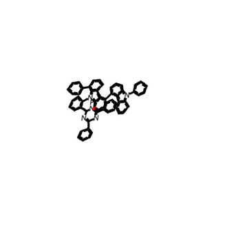 c1ccc(C2=NC(c3ccccc3-n3c4cccc(-c5cccc6c5c5ccccc5n6-c5ccccc5)c4c4cccc(-c5ccccc5)c43)NC(c3ccccc3)=N2)cc1